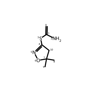 C=C(N)SC1=NOC(C)(C)C1